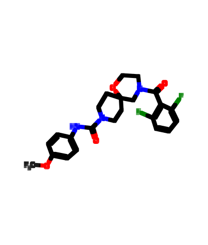 O=C(Nc1ccc(OC(F)(F)F)cc1)N1CCC2(CC1)CN(C(=O)c1c(F)cccc1F)CCO2